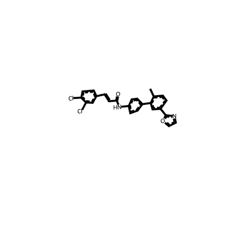 Cc1ccc(-c2ncco2)cc1-c1ccc(NC(=O)C=Cc2ccc(Cl)c(Cl)c2)cc1